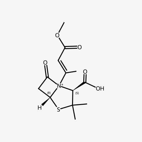 COC(=O)C=C(C)[N+]12C(=O)C[C@H]1SC(C)(C)[C@@H]2C(=O)O